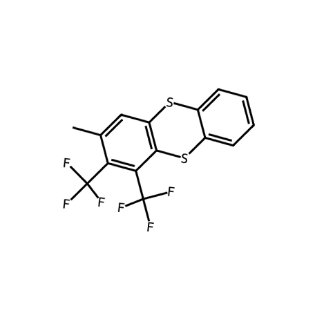 Cc1cc2c(c(C(F)(F)F)c1C(F)(F)F)Sc1ccccc1S2